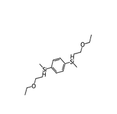 CCOCC[SiH](C)c1ccc([SiH](C)CCOCC)cc1